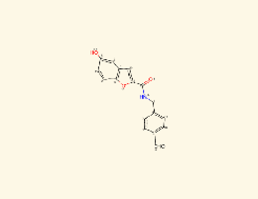 O=Cc1ccc(CNC(=O)c2cc3cc(O)ccc3o2)cc1